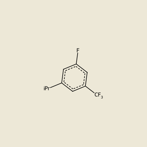 CC(C)c1cc(F)cc(C(F)(F)F)c1